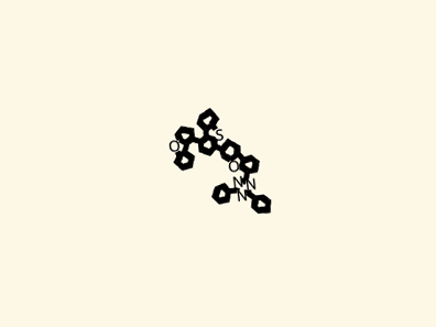 c1ccc(-c2nc(-c3ccccc3)nc(-c3cccc4c3oc3cc(-c5ccc(-c6cccc7oc8ccccc8c67)c6c5sc5ccccc56)ccc34)n2)cc1